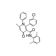 Cc1cccc(C)c1NC(=O)c1c(-c2cccc(Cl)c2)n(-c2ccccc2)c(C)cc1=O